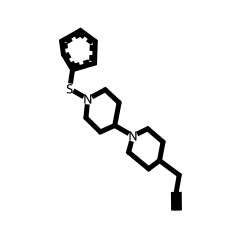 C#CCC1CCN(C2CCN(Sc3ccccc3)CC2)CC1